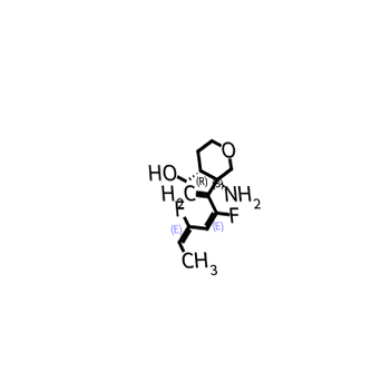 C=C(/C(F)=C\C(F)=C/C)[C@]1(N)COCC[C@H]1CO